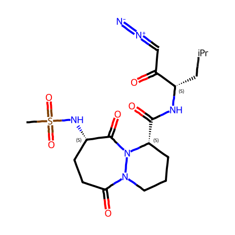 CC(C)C[C@H](NC(=O)[C@@H]1CCCN2C(=O)CC[C@H](NS(C)(=O)=O)C(=O)N12)C(=O)C=[N+]=[N-]